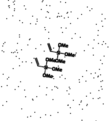 C=C[Si](OC)(OC)OC.C=C[Si](OC)(OC)OC